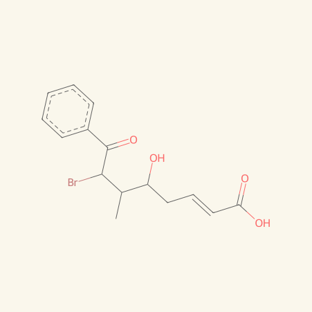 CC(C(O)CC=CC(=O)O)C(Br)C(=O)c1ccccc1